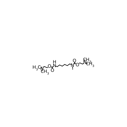 CN(C)CCOC(=O)NCCCCCCN(I)C(=O)OCCN(C)C